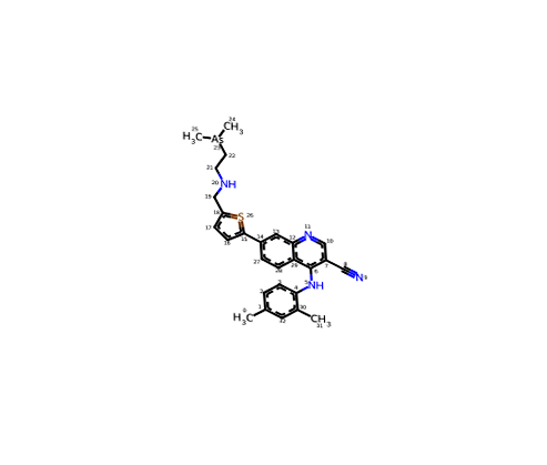 Cc1ccc(Nc2c(C#N)cnc3cc(-c4ccc(CNCC[As](C)C)s4)ccc23)c(C)c1